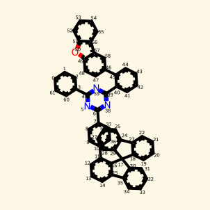 c1ccc(-c2nc(-c3ccc(-c4cccc5c4C4(c6ccccc6-c6ccccc64)c4ccccc4-5)cc3)nc(-c3ccccc3-c3ccc4oc5ccccc5c4c3)n2)cc1